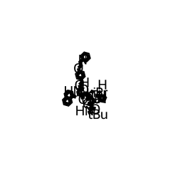 CC(C)C[C@H](NC(=O)[C@H](Cc1cccc2ccccc12)NC(=O)OCc1ccc(OCCN2CCCCC2)cc1)C(=O)N[C@@H](C[C@@H]1CCNC1=O)C(=O)C(=O)NC(C)(C)C